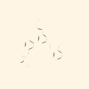 CCOC(=O)Cc1ccccc1OCc1cc(-c2cccc(CNC(=O)OC(C)(C)C)c2)c2oc(CN)cc2c1